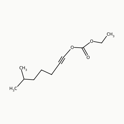 CCOC(=O)OC#CCCCC(C)C